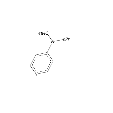 CCCN([C]=O)c1ccncc1